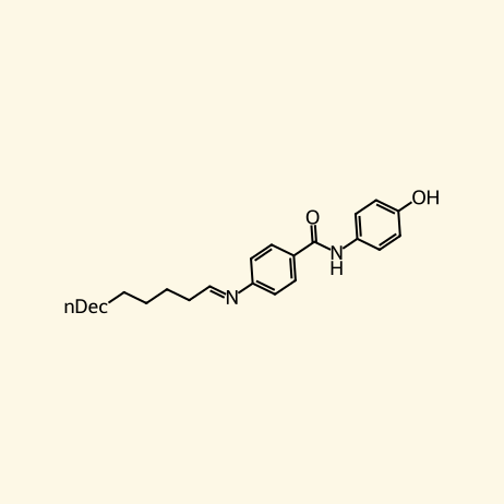 CCCCCCCCCCCCCC/C=N/c1ccc(C(=O)Nc2ccc(O)cc2)cc1